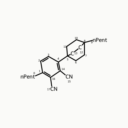 CCCCCc1ccc(C23CCC(CCCCC)(CC2)CC3)c(C#N)c1C#N